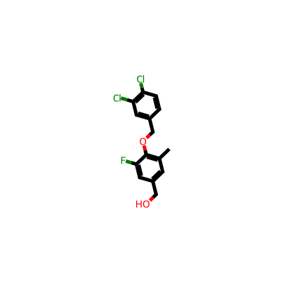 Cc1cc(CO)cc(F)c1OCc1ccc(Cl)c(Cl)c1